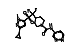 Cn1nc(C2CC2)cc1S(=O)(=O)C(F)(F)C1CCN(C(=O)Nc2ccnnc2)CC1